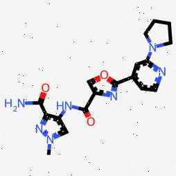 Cn1cc(NC(=O)c2coc(-c3ccnc(N4CCCC4)c3)n2)c(C(N)=O)n1